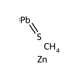 C.[S]=[Pb].[Zn]